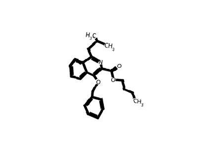 CCCCOC(=O)c1nc(CC(C)C)c2ccccc2c1OCc1ccccc1